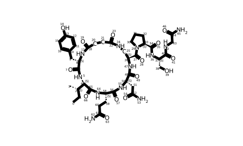 CC[C@H](C)[C@@H]1NC(=O)[C@H](Cc2ccc(O)cc2)NC(=O)CCC(=O)NC[C@@H](C(=O)N2CCC[C@H]2C(=O)N[C@@H](CO)C(=O)NCC(N)=O)NC(=O)[C@H](CC(N)=O)NC(=O)[C@H](CCC(N)=O)NC1=O